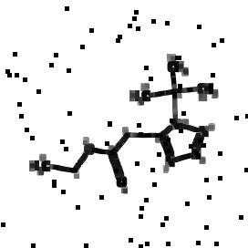 CCOC(=O)Cc1nnnn1C(C)(C)C